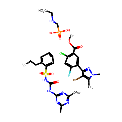 CC(C)OC(=O)c1cc(-c2nn(C)c(C(F)(F)F)c2Br)c(F)cc1Cl.COc1nc(C)nc(NC(=O)NS(=O)(=O)c2ccccc2CCC(F)(F)F)n1.O=C(O)CNCP(=O)(O)O